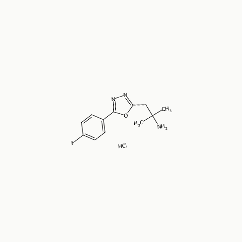 CC(C)(N)Cc1nnc(-c2ccc(F)cc2)o1.Cl